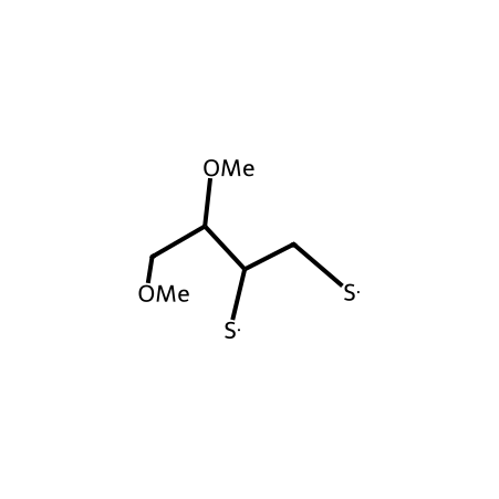 COCC(OC)C([S])C[S]